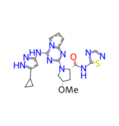 CO[C@H]1C[C@@H](C(=O)Nc2ncns2)N(c2nc(Nc3cc(C4CC4)[nH]n3)n3cccc3n2)C1